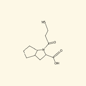 O=C(O)C1CC2CCCC2N1C(=O)CCS